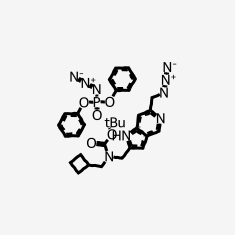 CC(C)(C)OC(=O)N(Cc1cc2cnc(CN=[N+]=[N-])cc2[nH]1)CC1CCC1.[N-]=[N+]=NP(=O)(Oc1ccccc1)Oc1ccccc1